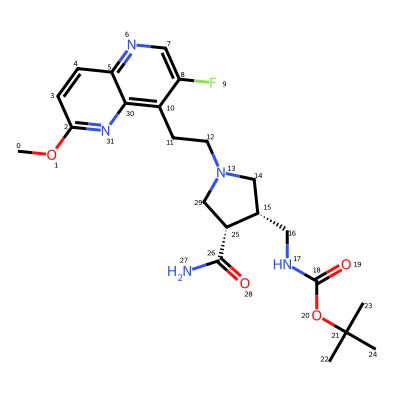 COc1ccc2ncc(F)c(CCN3C[C@H](CNC(=O)OC(C)(C)C)[C@H](C(N)=O)C3)c2n1